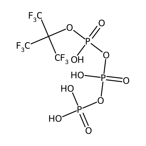 O=P(O)(O)OP(=O)(O)OP(=O)(O)OC(C(F)(F)F)(C(F)(F)F)C(F)(F)F